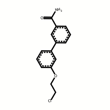 NC(=O)c1cccc(-c2cccc(OCCCl)c2)c1